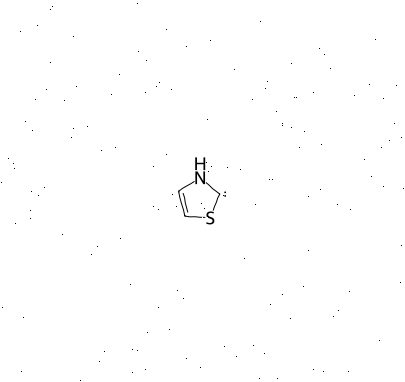 [C]1NC=CS1